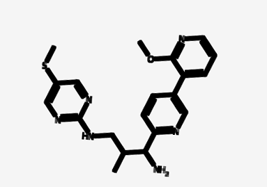 COc1ncccc1-c1ccc(C(N)C(C)CNc2ncc(SC)cn2)nc1